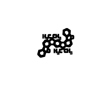 CC1(C)c2cc3c(cc2-c2c1ccc1c2oc2ccccc21)C(C)(C)c1ccc2oc4ccccc4c2c1-3